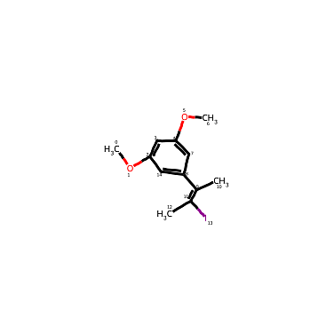 COc1cc(OC)cc(/C(C)=C(\C)I)c1